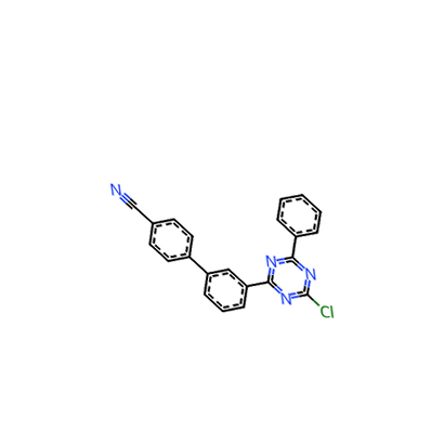 N#Cc1ccc(-c2cccc(-c3nc(Cl)nc(-c4ccccc4)n3)c2)cc1